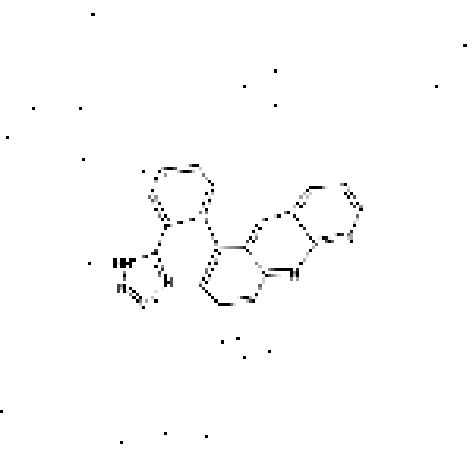 c1ccc(-c2cccc3nc4ncccc4cc23)c(-c2nnn[nH]2)c1